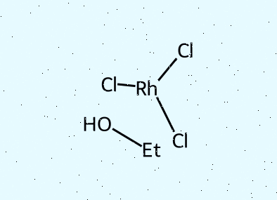 CCO.[Cl][Rh]([Cl])[Cl]